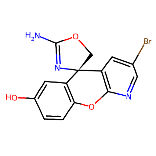 NC1=N[C@@]2(CO1)c1cc(O)ccc1Oc1ncc(Br)cc12